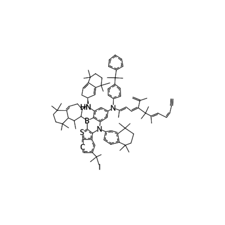 C#C/C=C\C=C(/C)C(C)(C)/C(=C/C=C(\C)N(c1ccc(C(C)(C)c2ccccc2)cc1)c1cc(N[C@@H]2C=C3C(=CC2)C(C)(C)CCC3(C)C)c2c(c1)N(c1ccc3c(c1)C(C)(C)CCC3(C)C)c1c(sc3ccc(C(C)(C)I)cc13)B2C1C(C)C2C(=CC[C@H]1C)C(C)(C)CCC2(C)C)C(=C)C